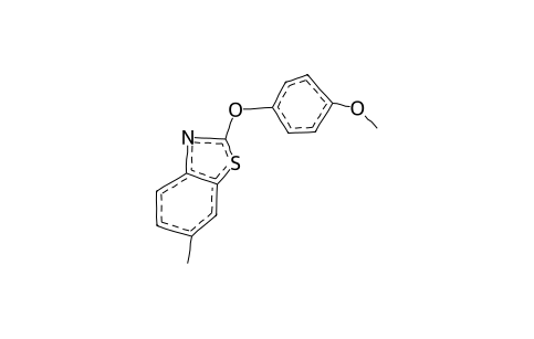 COc1ccc(Oc2nc3ccc(C)cc3s2)cc1